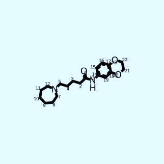 O=C(CCCCN1CCCCCC1)Nc1ccc2c(c1)OCCO2